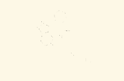 CC(C)N1CCC(N2C(=O)c3ccccc3-c3n[nH]c4ccnc2c34)CC1